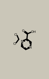 ClCCl.O=C(O)c1cnccn1